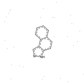 [c]1n[nH]c2ccc3ccccc3c12